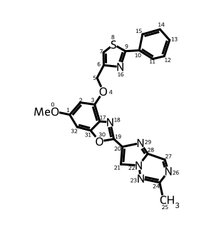 COc1cc(OCc2csc(-c3ccccc3)n2)c2nc(-c3cn4nc(C)ncc4n3)oc2c1